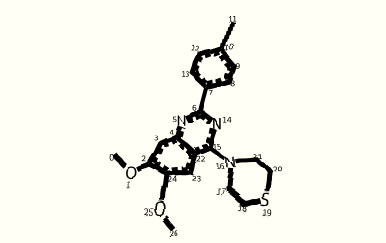 COc1cc2nc(-c3ccc(C)cc3)nc(N3CCSCC3)c2cc1OC